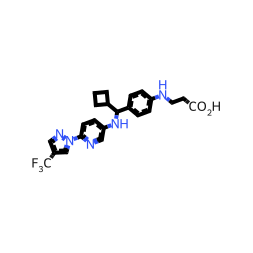 O=C(O)CCNc1ccc(C(Nc2ccc(-n3cc(C(F)(F)F)cn3)nc2)C2CCC2)cc1